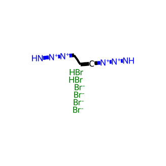 Br.Br.N=[N+]=[N+]=C=CC=[N+]=[N+]=N.[Br-].[Br-].[Br-].[Br-]